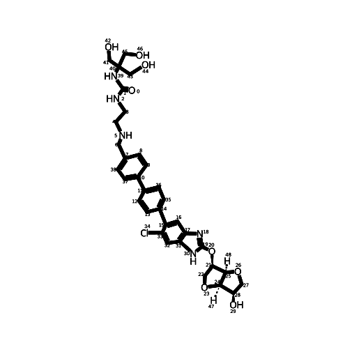 O=C(NCCNCc1ccc(-c2ccc(-c3cc4nc(O[C@@H]5CO[C@H]6[C@@H]5OC[C@H]6O)[nH]c4cc3Cl)cc2)cc1)NC(CO)(CO)CO